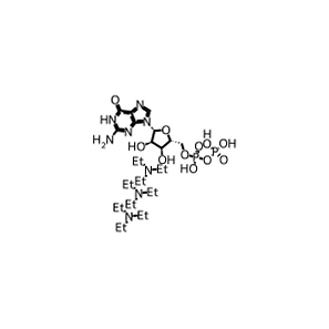 CCN(CC)CC.CCN(CC)CC.CCN(CC)CC.Nc1nc2c(ncn2[C@@H]2O[C@H](COP(=O)(O)OP(=O)(O)O)[C@@H](O)[C@H]2O)c(=O)[nH]1